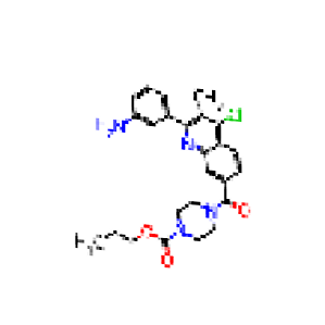 CCCOC(=O)N1CCN(C(=O)c2ccc3c(Cl)c(C)c(-c4cccc(N)c4)nc3c2)CC1